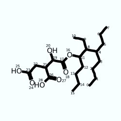 CCCCC(CCC)C(CC)C(CCCC)OC(=O)C(O)C(CC(=O)O)C(=O)O